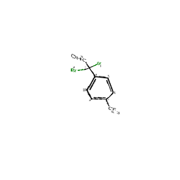 O=CC(Br)(Br)c1ccc(C(F)(F)F)cc1